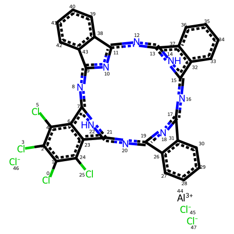 Clc1c(Cl)c(Cl)c2c3nc4nc(nc5[nH]c(nc6nc(nc([nH]3)c2c1Cl)-c1ccccc1-6)c1ccccc51)-c1ccccc1-4.[Al+3].[Cl-].[Cl-].[Cl-]